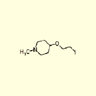 CN1CCC(OCCI)CC1